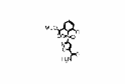 COC(=O)c1cccc(Cl)c1S(=O)(=O)c1cc(C(N)=O)on1